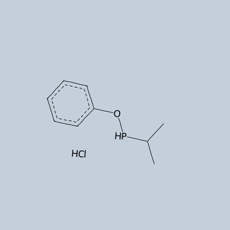 CC(C)POc1ccccc1.Cl